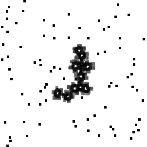 c1ccc(-c2cccc(-c3ccc4c(c3)c3ccccc3n4-c3ccc(-c4c5ccccc5c(-c5ccc6ccccc6c5)c5ccccc45)cc3)c2)cc1